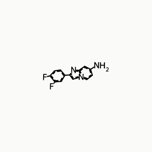 Nc1ccn2cc(-c3ccc(F)c(F)c3)nc2c1